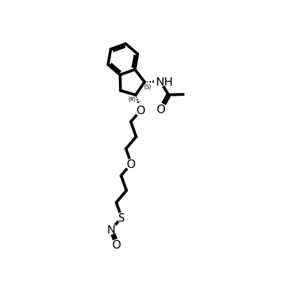 CC(=O)N[C@H]1c2ccccc2C[C@H]1OCCCOCCCSN=O